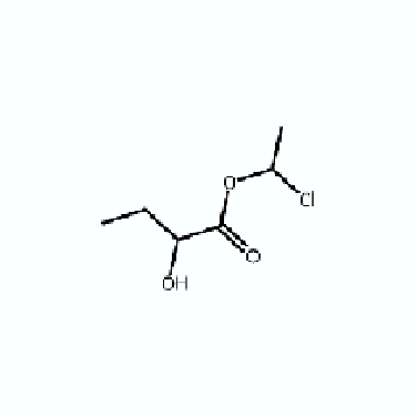 CCC(O)C(=O)OC(C)Cl